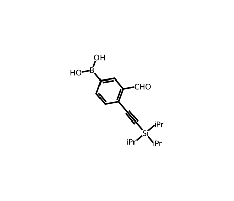 CC(C)[Si](C#Cc1ccc(B(O)O)cc1C=O)(C(C)C)C(C)C